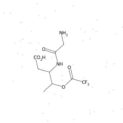 CC(OC(=O)C(F)(F)F)C(CC(=O)O)NC(=O)CN